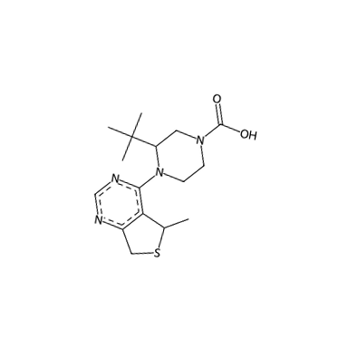 CC1SCc2ncnc(N3CCN(C(=O)O)CC3C(C)(C)C)c21